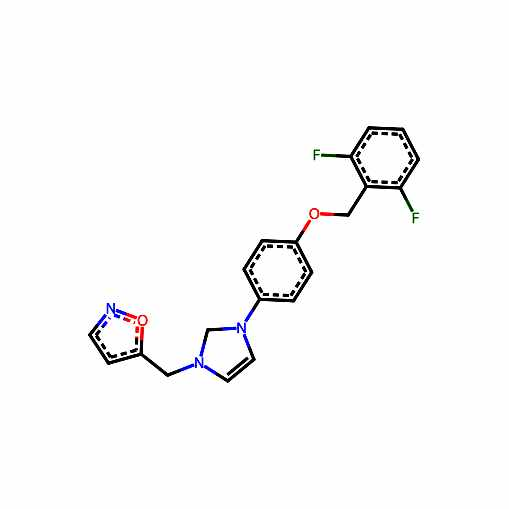 Fc1cccc(F)c1COc1ccc(N2C=CN(Cc3ccno3)C2)cc1